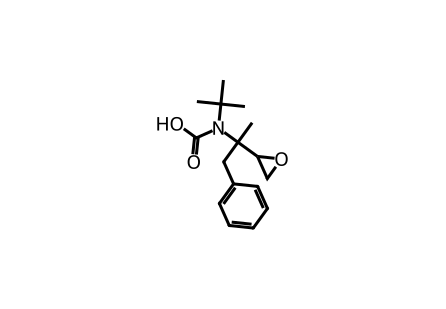 CC(C)(C)N(C(=O)O)C(C)(Cc1ccccc1)C1CO1